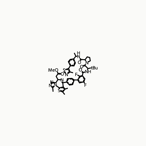 COC(=O)CC1N=C(c2ccc(-c3cc(F)cc(C(=O)NC(C(=O)N4CCCC4C(=O)NC(C)c4ccc(-c5scnc5C)cc4)C(C)(C)C)c3F)cc2)c2c(sc(C)c2C)-n2c(C)nnc21